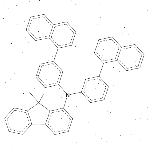 CC1(C)c2ccccc2-c2cccc(N(c3cccc(-c4cccc5ccccc45)c3)c3cccc(-c4cccc5ccccc45)c3)c21